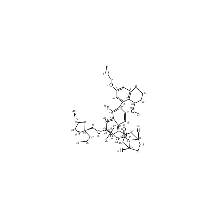 COCOc1cc2c(c(-c3ccc4c(N5C[C@H]6CC[C@@H](C5)N6C(=O)OC(C)(C)C)nc(OC[C@@]56CCCN5C[C@H](F)C6)nc4c3F)c1)C(OC)CCC2